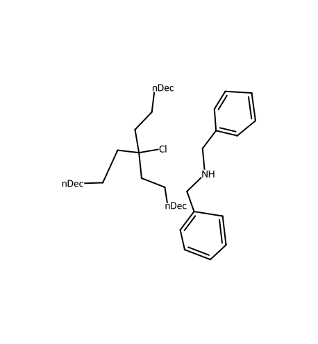 CCCCCCCCCCCCC(Cl)(CCCCCCCCCCCC)CCCCCCCCCCCC.c1ccc(CNCc2ccccc2)cc1